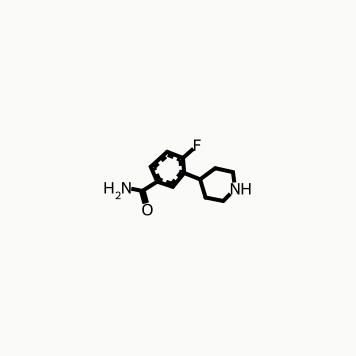 NC(=O)c1ccc(F)c(C2CCNCC2)c1